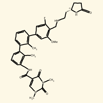 COc1cc(-c2cccc(-c3cccc(NC(=O)c4cn(C)c(=O)n(C)c4=O)c3C)c2C)cc(F)c1CNCC[C@@H]1CCC(=O)N1